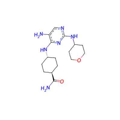 Nc1cnc(NC2CCOCC2)nc1N[C@H]1CC[C@H](C(N)=O)CC1